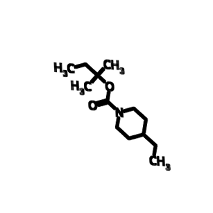 CCC1CCN(C(=O)OC(C)(C)CC)CC1